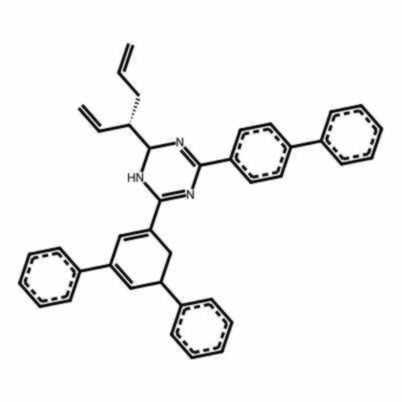 C=CC[C@@H](C=C)C1N=C(c2ccc(-c3ccccc3)cc2)N=C(C2=CC(c3ccccc3)=CC(c3ccccc3)C2)N1